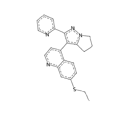 CCSc1ccc2c(-c3c(-c4ccccn4)nn4c3CCC4)ccnc2c1